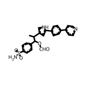 CC(c1c[nH]c(-c2ccc(-c3ccncc3)cc2)c1)C(OC=O)c1ccc(S(N)(=O)=O)cc1